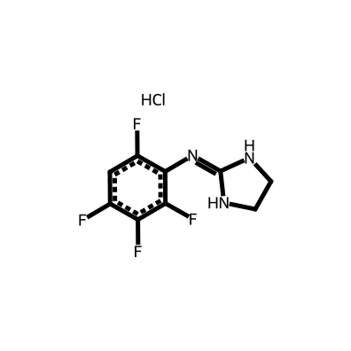 Cl.Fc1cc(F)c(N=C2NCCN2)c(F)c1F